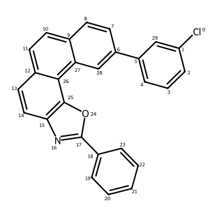 Clc1cccc(-c2ccc3ccc4ccc5nc(-c6ccccc6)oc5c4c3c2)c1